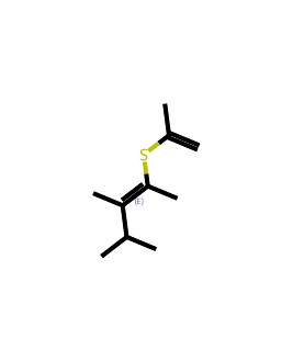 C=C(C)S/C(C)=C(\C)C(C)C